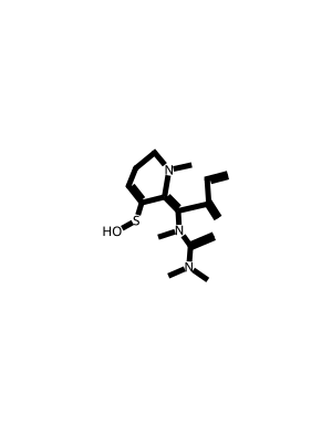 C=CC(=C)/C(=C1/C(SO)=CCCN1C)N(C)C(=C)N(C)C